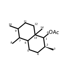 CC(=O)OC1[C@@H](C)CCC2C(C)C(C)CCC21C